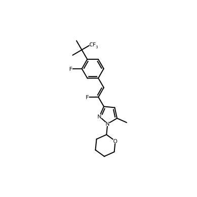 Cc1cc(C(F)=Cc2ccc(C(C)(C)C(F)(F)F)c(F)c2)nn1C1CCCCO1